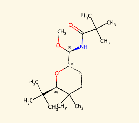 CO[C@@H](NC(=O)C(C)(C)C)[C@@H]1CCC(C)(C)[C@@H](C(C)(C)C)O1